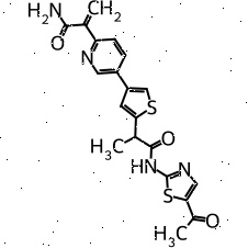 C=C(C(N)=O)c1ccc(-c2csc(C(C)C(=O)Nc3ncc(C(C)=O)s3)c2)cn1